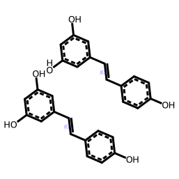 Oc1ccc(/C=C/c2cc(O)cc(O)c2)cc1.Oc1ccc(/C=C/c2cc(O)cc(O)c2)cc1